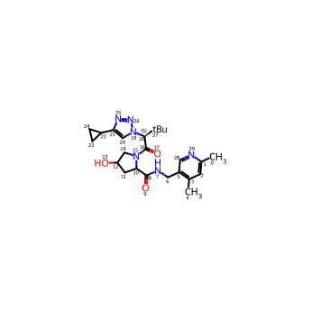 Cc1cc(C)c(CNC(=O)C2CC(O)CN2C(=O)[C@@H](n2cc(C3CC3)nn2)C(C)(C)C)cn1